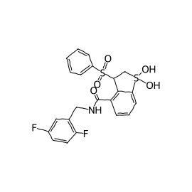 O=C(NCc1cc(F)ccc1F)c1cccc2c1C(S(=O)(=O)c1ccccc1)CS2(O)O